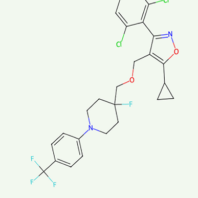 FC1(COCc2c(-c3c(Cl)cccc3Cl)noc2C2CC2)CCN(c2ccc(C(F)(F)F)cc2)CC1